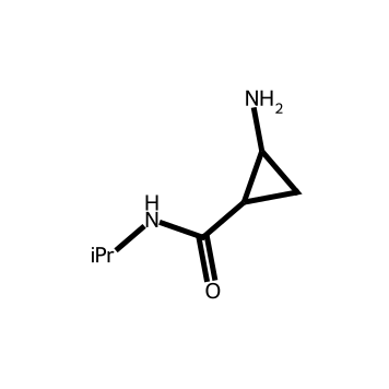 CC(C)NC(=O)C1CC1N